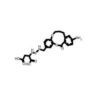 Nc1ccc2c(c1)CCCOc1ccc(CNSNC(CC(=O)O)C(=O)O)cc1OC2=O